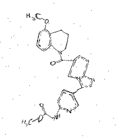 COC(=O)Nc1ccc(-c2cnc3ccc(C(=O)N4CCCc5c(OC)cccc54)cn23)cn1